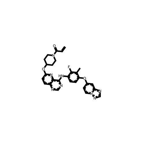 C=CC(=O)N1CCC(Oc2ccc3ncnc(Nc4ccc(Oc5ccn6ncnc6c5)c(C)c4F)c3n2)CC1